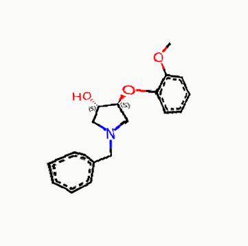 COc1ccccc1O[C@H]1CN(Cc2ccccc2)C[C@@H]1O